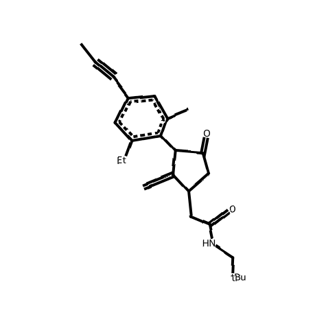 C=C1C(CC(=O)NCC(C)(C)C)CC(=O)C1c1c(C)cc(C#CC)cc1CC